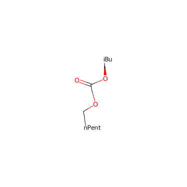 CCCCCCOC(=O)O[C@H](C)CC